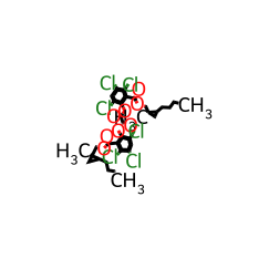 CCCCC1CC1(C)COC(=O)c1c(Cl)c(Cl)cc(Cl)c1OC(=O)C(=O)Oc1c(Cl)cc(Cl)c(Cl)c1C(=O)OCC1(C)CC1CCCC